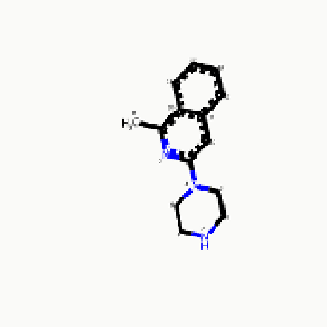 Cc1nc(N2CCNCC2)cc2ccccc12